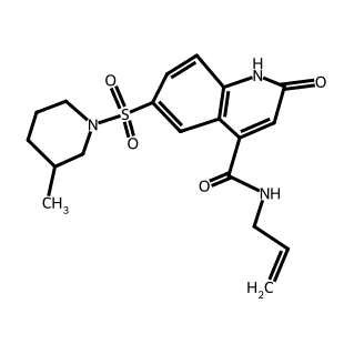 C=CCNC(=O)c1cc(=O)[nH]c2ccc(S(=O)(=O)N3CCCC(C)C3)cc12